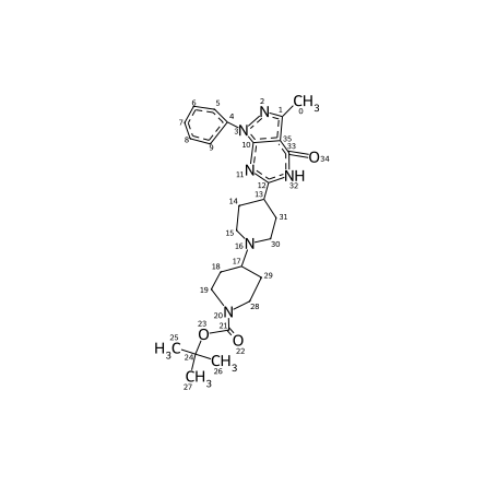 Cc1nn(-c2ccccc2)c2nc(C3CCN(C4CCN(C(=O)OC(C)(C)C)CC4)CC3)[nH]c(=O)c12